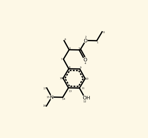 CCOC(=O)C(C)Cc1ccc(O)c(CN(C)C)c1